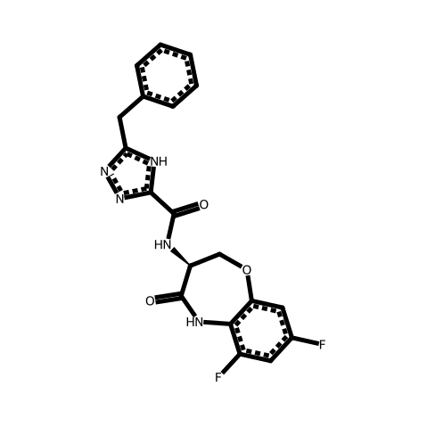 O=C(N[C@H]1COc2cc(F)cc(F)c2NC1=O)c1nnc(Cc2ccccc2)[nH]1